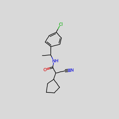 CC(NC(=O)C(C#N)C1CCCC1)c1ccc(Cl)cc1